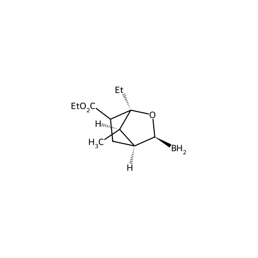 B[C@@H]1O[C@]2(CC)C(C(=O)OCC)C[C@H]1[C@H]2C